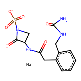 NC(=O)NCc1ccccc1CC(=O)NC1CN(S(=O)(=O)[O-])C1=O.[Na+]